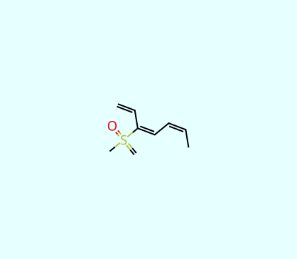 C=C/C(=C\C=C/C)S(=C)(C)=O